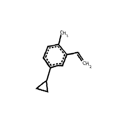 C=[C]c1cc(C2CC2)ccc1C